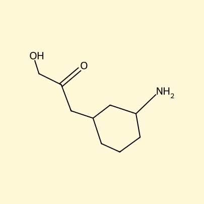 NC1CCCC(CC(=O)CO)C1